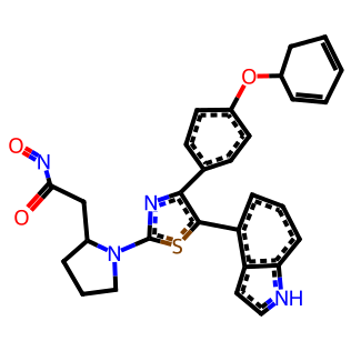 O=NC(=O)CC1CCCN1c1nc(-c2ccc(OC3C=CC=CC3)cc2)c(-c2cccc3[nH]ccc23)s1